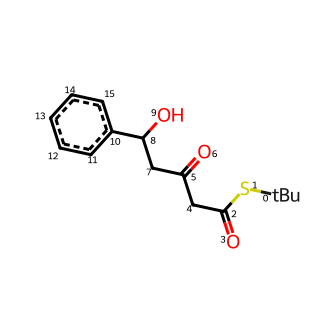 CC(C)(C)SC(=O)CC(=O)CC(O)c1ccccc1